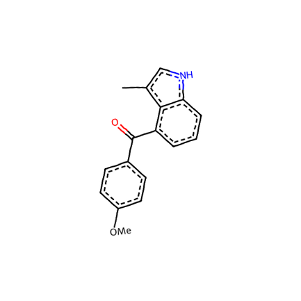 COc1ccc(C(=O)c2cccc3[nH]cc(C)c23)cc1